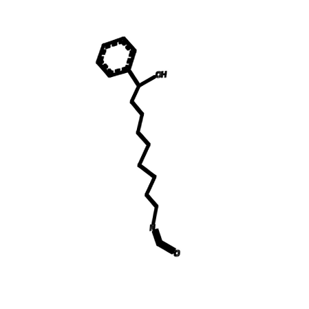 O=C=NCCCCCCCCC(O)c1ccccc1